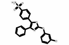 NS(=O)(=O)c1ccc(-c2oc(Oc3cccc(Cl)c3)nc2-c2ccccc2)cc1